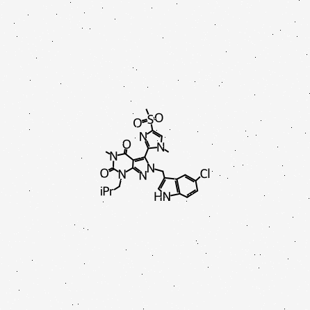 CC(C)Cn1c(=O)n(C)c(=O)c2c(-c3nc(S(C)(=O)=O)cn3C)n(Cc3c[nH]c4ccc(Cl)cc34)nc21